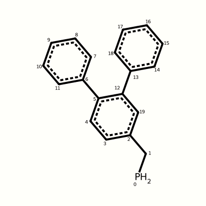 PCc1ccc(-c2ccccc2)c(-c2ccccc2)c1